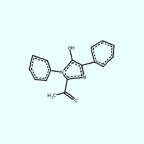 CC(=O)c1nc(-c2ccccc2)c(O)n1-c1ccccc1